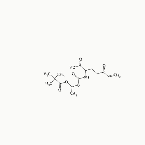 C=CC(=O)CCC(NC(=O)OC(C)OC(=O)C(C)(C)C)C(=O)O